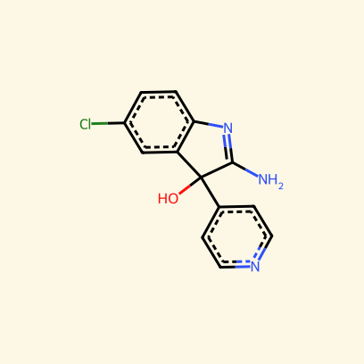 NC1=Nc2ccc(Cl)cc2C1(O)c1ccncc1